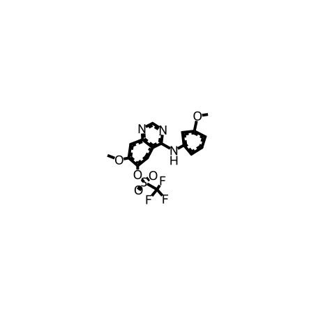 COc1cccc(Nc2ncnc3cc(OC)c(OS(=O)(=O)C(F)(F)F)cc23)c1